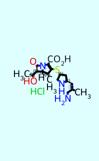 C/C(=C/[C@@H]1C[C@H](SC2=C(C(=O)O)N3C(=O)[C@H]([C@@H](C)O)[C@H]3[C@H]2C)CN1)CN.Cl